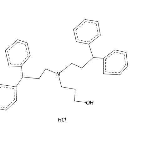 Cl.OCCCN(CCC(c1ccccc1)c1ccccc1)CCC(c1ccccc1)c1ccccc1